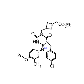 CCOC(=O)CN1CC(Cn2c(=O)[nH]/c(=N\c3ccc(OC(C)C)c(C)c3)n(Cc3ccc(Cl)cc3)c2=O)C1